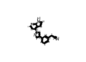 N#CCc1cccc(-c2cnn(-c3ccnc4[nH]ccc34)c2)c1